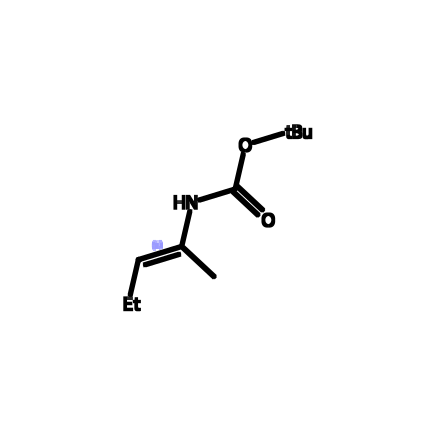 CC/C=C(\C)NC(=O)OC(C)(C)C